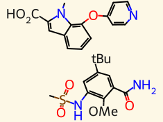 COc1c(NS(C)(=O)=O)cc(C(C)(C)C)cc1C(N)=O.Cn1c(C(=O)O)cc2cccc(Oc3ccncc3)c21